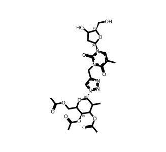 CC(=O)OCC1O[C@H](n2cc(Cn3c(=O)c(C)cn([C@H]4CC(O)[C@@H](CO)O4)c3=O)nn2)C(C)C(OC(C)=O)[C@H]1OC(C)=O